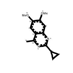 COc1cc2nc(C3CC3)nc(C)c2cc1OC